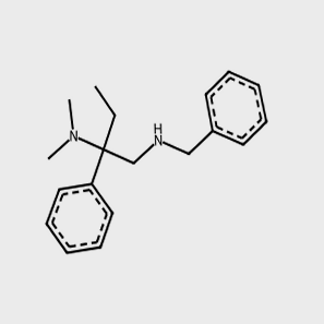 CCC(CNCc1ccccc1)(c1ccccc1)N(C)C